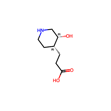 O=C(O)CC[C@@H]1CCNC[C@@H]1O